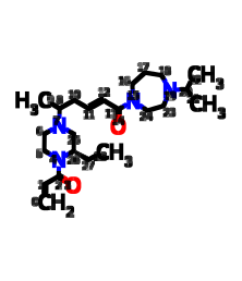 C=CC(=O)N1CCN(C(C)C/C=C/C(=O)N2CCCN(C(C)C)CC2)C[C@H]1CC